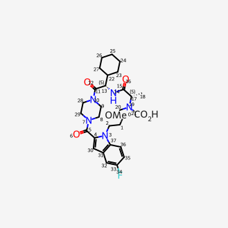 COCCn1c(C(=O)N2CCN(C(=O)[C@@H](NC(=O)[C@H](C)N(C)C(=O)O)C3CCCCC3)CC2)cc2cc(F)ccc21